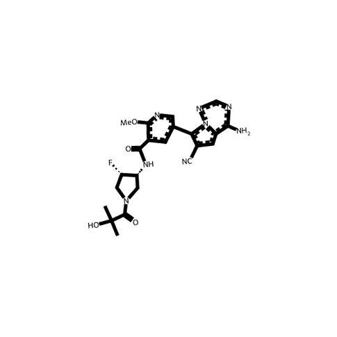 COc1ncc(-c2c(C#N)cc3c(N)ncnn23)cc1C(=O)N[C@@H]1CN(C(=O)C(C)(C)O)C[C@@H]1F